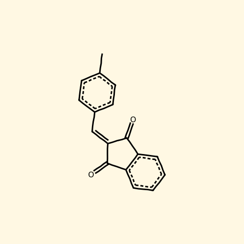 Cc1ccc(C=C2C(=O)c3ccccc3C2=O)cc1